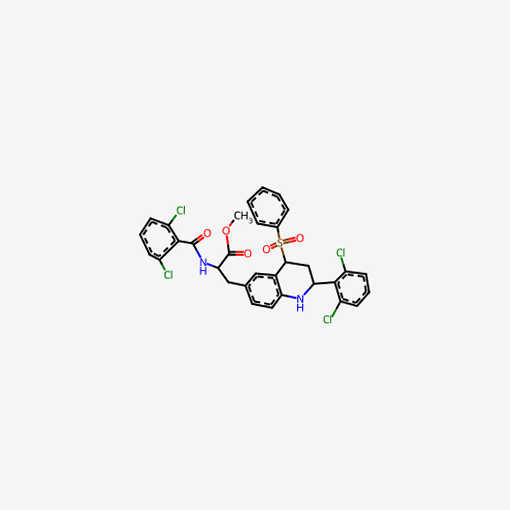 COC(=O)C(Cc1ccc2c(c1)C(S(=O)(=O)c1ccccc1)CC(c1c(Cl)cccc1Cl)N2)NC(=O)c1c(Cl)cccc1Cl